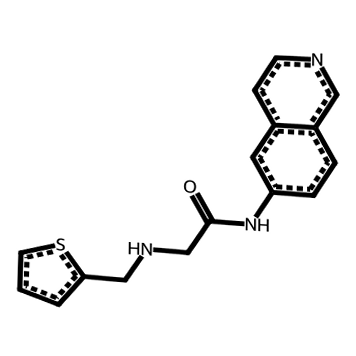 O=C(CNCc1cccs1)Nc1ccc2cnccc2c1